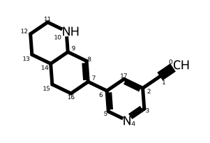 C#Cc1cncc(C2=CC3NCCCC3CC2)c1